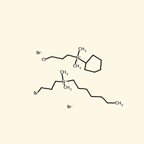 CCCCCCC[N+](C)(C)CCCBr.C[N+](C)(CCCCl)C1CCCCC1.[Br-].[Br-]